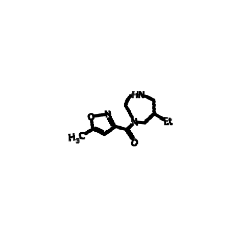 CCC1CNCCN(C(=O)c2cc(C)on2)C1